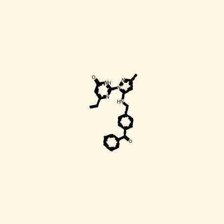 CCc1cc(=O)[nH]c(-n2nc(C)cc2NCc2ccc(C(=O)c3ccccc3)cc2)n1